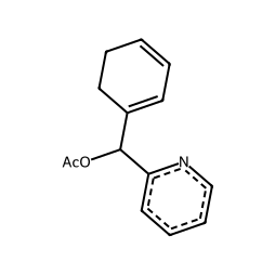 CC(=O)OC(C1=CC=CCC1)c1ccccn1